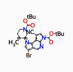 C[C@@H]1CCN(C(=O)OC(C)(C)C)C[C@@H]1n1cc(Br)c2cnc3c(c(C#N)cn3C(=O)OC(C)(C)C)c21